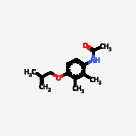 C=C(C)COc1ccc(NC(C)=O)c(C)c1C